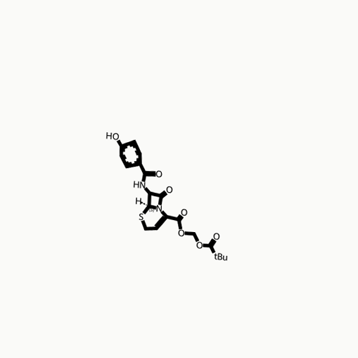 CC(C)(C)C(=O)OCOC(=O)C1=CCS[C@H]2C(NC(=O)c3ccc(O)cc3)C(=O)N12